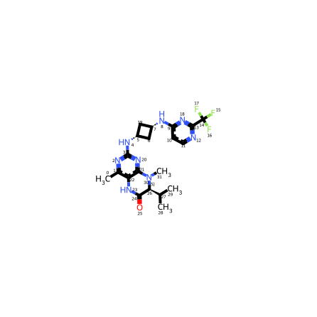 Cc1nc(N[C@H]2C[C@@H](Nc3ccnc(C(F)(F)F)n3)C2)nc2c1NC(=O)[C@H](C(C)C)N2C